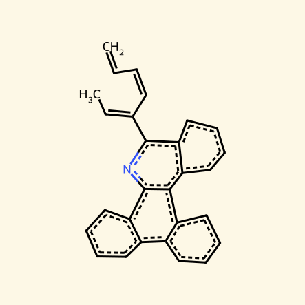 C=C/C=C\C(=C/C)c1nc2c3ccccc3c3ccccc3c2c2ccccc12